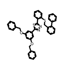 [c]1cccc(SCc2ccccc2-c2ccccc2)c1-c1nnc(-c2cc(OCc3ccccc3)cc(OCc3ccccc3)c2)s1